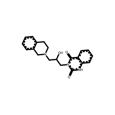 O=c1[nH]c2ccccc2c(=O)n1CC(O)CN1CCc2ccccc2C1